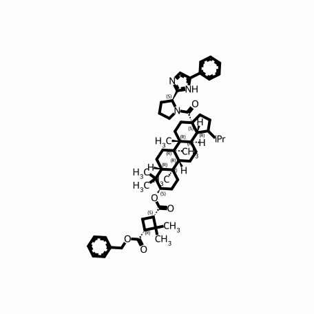 CC(C)C1CC[C@]2(C(=O)N3CCC[C@H]3c3ncc(-c4ccccc4)[nH]3)CC[C@]3(C)[C@H](CC[C@@H]4[C@@]5(C)CC[C@H](OC(=O)[C@H]6C[C@@H](C(=O)OCc7ccccc7)C6(C)C)C(C)(C)[C@@H]5CC[C@]43C)[C@@H]12